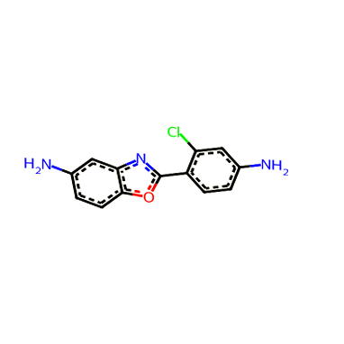 Nc1ccc(-c2nc3cc(N)ccc3o2)c(Cl)c1